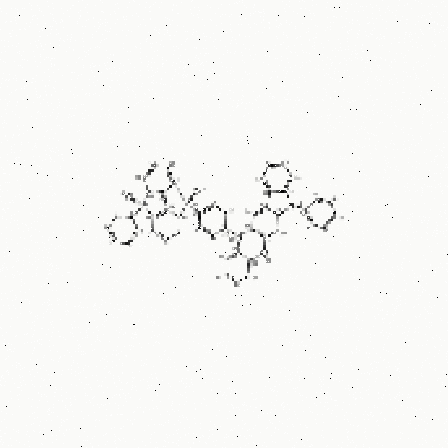 O=P1(c2ccccc2)c2cccc3c2-c2c1cccc2P3(=O)c1ccc(N2c3ccccc3Oc3cc4c(cc32)c2ccccc2n4-c2ccccc2)cc1